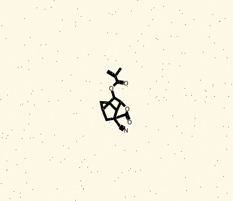 C=C(C)C(=O)OC1C2OC(=O)C3(C#N)CC4CC41C23